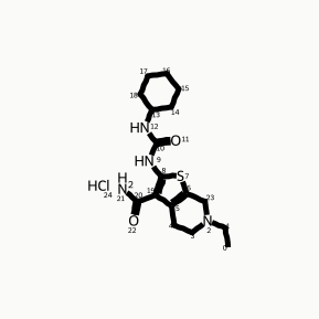 CCN1CCc2c(sc(NC(=O)NC3CCCCC3)c2C(N)=O)C1.Cl